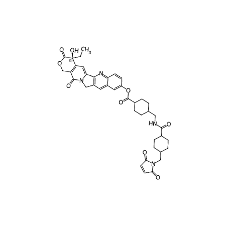 CC[C@@]1(O)C(=O)OCc2c1cc1n(c2=O)Cc2cc3cc(OC(=O)C4CCC(CNC(=O)C5CCC(CN6C(=O)C=CC6=O)CC5)CC4)ccc3nc2-1